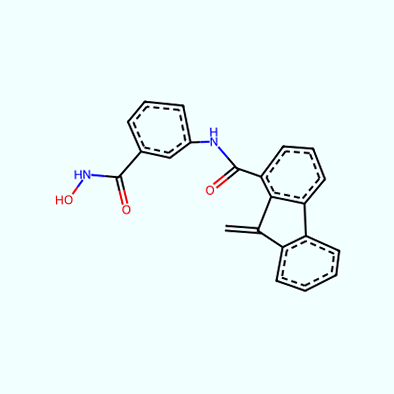 C=C1c2ccccc2-c2cccc(C(=O)Nc3cccc(C(=O)NO)c3)c21